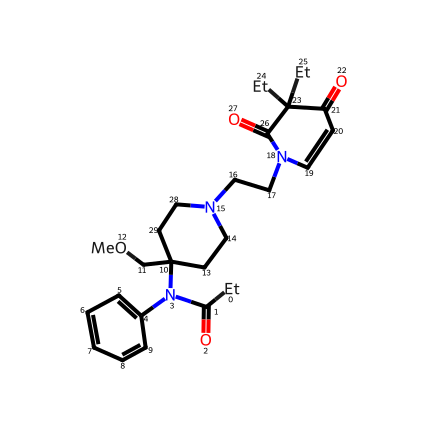 CCC(=O)N(c1ccccc1)C1(COC)CCN(CCN2C=CC(=O)C(CC)(CC)C2=O)CC1